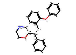 c1ccc(Oc2ccccc2C[C@H](c2ccccc2)[C@H]2CNCCO2)cc1